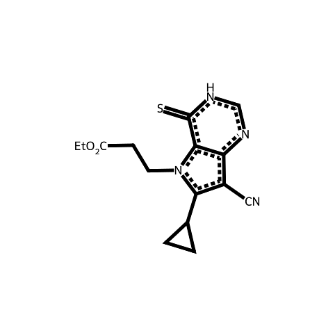 CCOC(=O)CCn1c(C2CC2)c(C#N)c2nc[nH]c(=S)c21